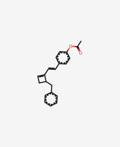 CC(=O)Oc1ccc(C=CC2=CCC2Cc2ccccc2)cc1